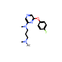 CC(=O)N(C)CCCN(C)c1cncc(Oc2ccc(F)cc2)n1